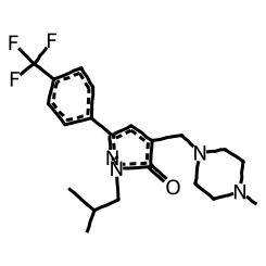 CC(C)Cn1nc(-c2ccc(C(F)(F)F)cc2)cc(CN2CCN(C)CC2)c1=O